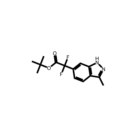 Cc1n[nH]c2cc(C(F)(F)C(=O)OC(C)(C)C)ccc12